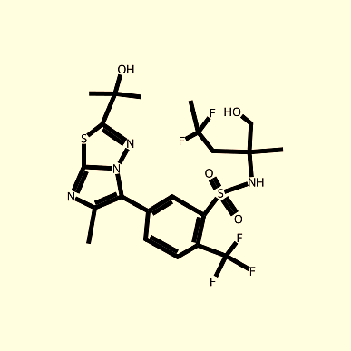 Cc1nc2sc(C(C)(C)O)nn2c1-c1ccc(C(F)(F)F)c(S(=O)(=O)NC(C)(CO)CC(C)(F)F)c1